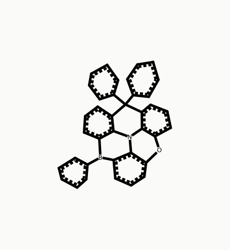 c1ccc(B2c3cccc4c3N3c5c(cccc5C(c5ccccc5)(c5ccccc5)c5cccc2c53)O4)cc1